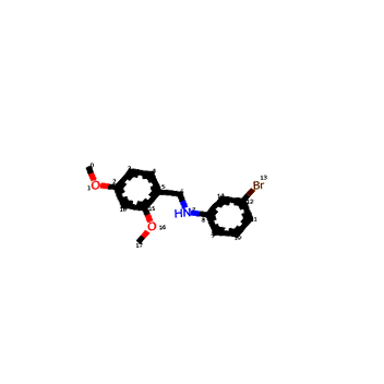 COc1ccc(CNc2[c]ccc(Br)c2)c(OC)c1